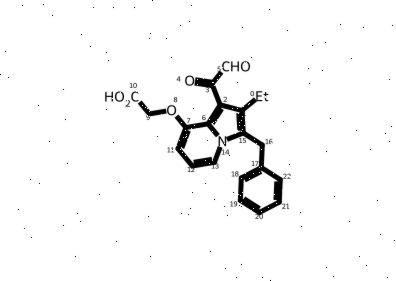 CCc1c(C(=O)C=O)c2c(OCC(=O)O)cccn2c1Cc1ccccc1